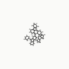 c1ccc(-n2c3ccccc3c3cc4c(cc32)N(c2cccc3c2sc2ccccc23)c2ccccc2C42c3ccsc3-c3sccc32)cc1